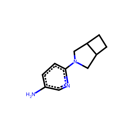 Nc1ccc(N2CC3CCC3C2)nc1